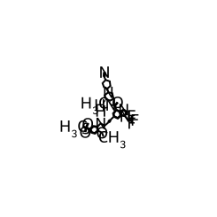 COc1ccc(S(C)(=O)=O)cc1NCC#Cc1cc(C(=O)N[C@H]2CCN(C3CCC(C#N)CC3)C[C@@H]2C)c2ncn(CC(F)(F)F)c2c1